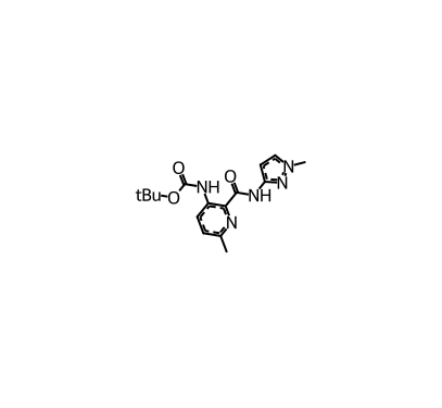 Cc1ccc(NC(=O)OC(C)(C)C)c(C(=O)Nc2ccn(C)n2)n1